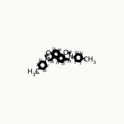 C[C@H]1CC[C@H](N2COc3c(ccc4c5c(ccc34)OCN([C@H]3CC[C@H](C)CC3)C5)C2)CC1